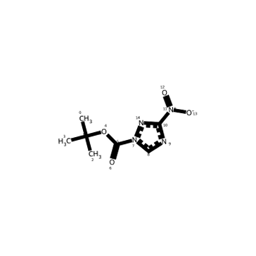 CC(C)(C)OC(=O)n1cnc([N+](=O)[O-])n1